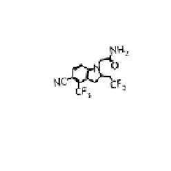 N#Cc1ccc2c(c1C(F)(F)F)CC(CC(F)(F)F)N2CC(N)=O